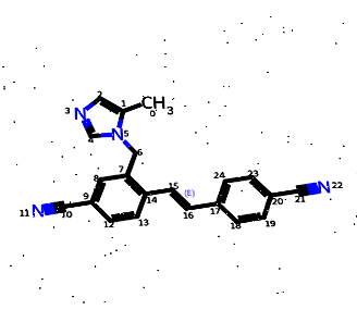 Cc1cncn1Cc1cc(C#N)ccc1/C=C/c1ccc(C#N)cc1